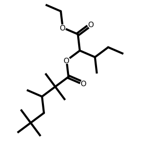 CCOC(=O)C(OC(=O)C(C)(C)C(C)CC(C)(C)C)C(C)CC